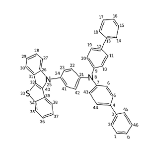 c1ccc(-c2ccc(N(c3ccc(-c4ccccc4)cc3)c3ccc(-n4c5ccccc5c5sc6ccccc6c54)cc3)cc2)cc1